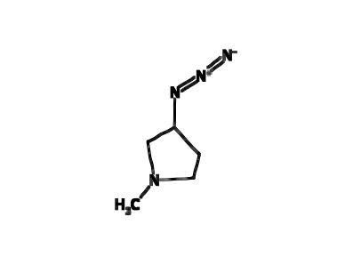 CN1CCC(N=[N+]=[N-])C1